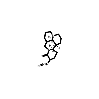 [N-]=[N+]=NC1CC[C@@H]2[C@H]3CCCN4CCC[C@@H](CN2C1=O)[C@H]34